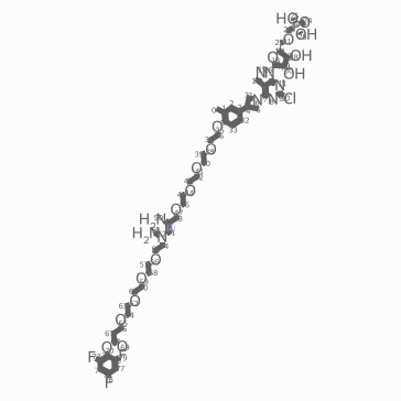 Cc1cc(C2CN(c3nc(Cl)nc4c3cnn4[C@@H]3O[C@H](COCP(=O)(O)O)[C@@H](O)[C@H]3O)C2)ccc1OCCOCCOCCOCCOC/C(N)=C/N(N)CCOCCOCCOCCOCCC(=O)Oc1c(F)cc(F)cc1F